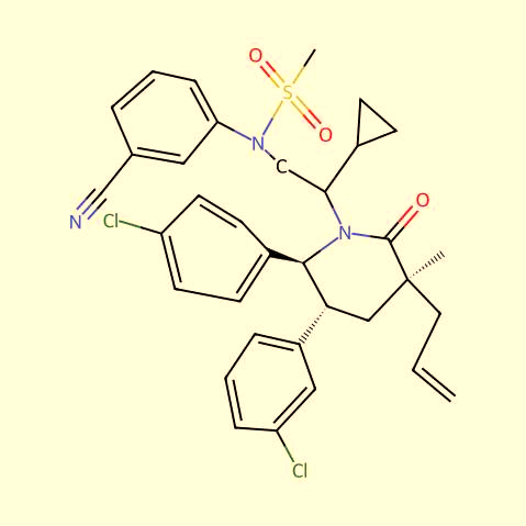 C=CC[C@@]1(C)C[C@H](c2cccc(Cl)c2)[C@@H](c2ccc(Cl)cc2)N(C(CN(c2cccc(C#N)c2)S(C)(=O)=O)C2CC2)C1=O